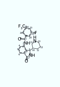 O=C(Nc1cccc2c1C(C1CCCNC1)NC2=O)c1cc(F)cc(C(F)(F)F)c1